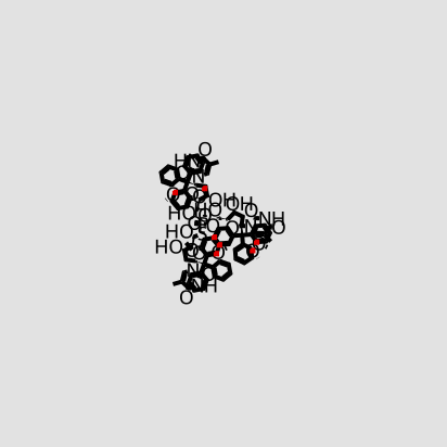 COc1ccccc1C(c1ccccc1)(c1ccccc1OC)[C@]1(n2cc(C)c(=O)[nH]c2=O)C[C@H](O)[C@@H](C(O)OP(=O)(OC(O)[C@H]2O[C@](n3cc(C)c(=O)[nH]c3=O)(C(c3ccccc3)(c3ccccc3OC)c3ccccc3OC)C[C@@H]2O)SC(O)[C@H]2O[C@](n3cc(C)c(=O)[nH]c3=O)(C(c3ccccc3)(c3ccccc3OC)c3ccccc3OC)C[C@@H]2O)O1